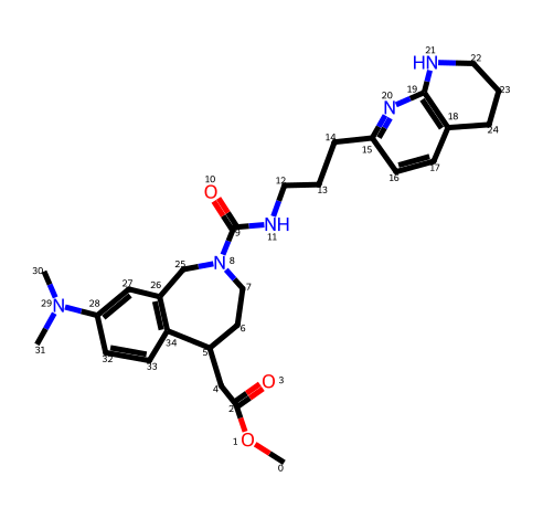 COC(=O)CC1CCN(C(=O)NCCCc2ccc3c(n2)NCCC3)Cc2cc(N(C)C)ccc21